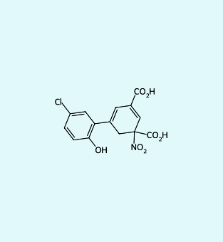 O=C(O)C1=CC(C(=O)O)([N+](=O)[O-])CC(c2cc(Cl)ccc2O)=C1